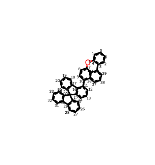 c1ccc2c(c1)Oc1ccc(-c3cccc4c3-c3ccccc3C43c4ccccc4-c4ccccc43)c3cccc-2c13